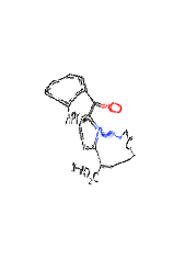 CCCc1ccccc1C(=O)c1ccc2n1CCCCC2C(=O)O